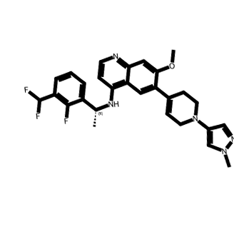 COc1cc2nccc(N[C@H](C)c3cccc(C(F)F)c3F)c2cc1C1=CCN(c2cnn(C)c2)CC1